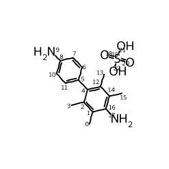 Cc1c(C)c(-c2ccc(N)cc2)c(C)c(C)c1N.O=S(=O)(O)O